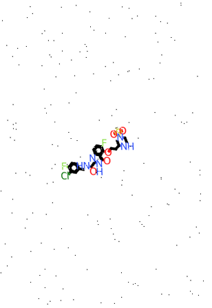 CS(=O)(=O)N1CCNC(CCOc2c(F)ccc3nc(C(=O)NCc4ccc(F)c(Cl)c4)[nH]c(=O)c23)C1